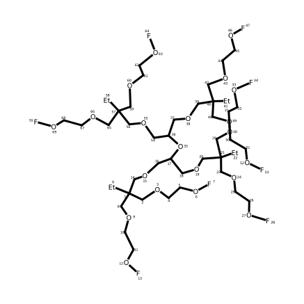 CCC(COCCOF)(COCCOF)COCC(COCC(CC)(COCCOF)COCCOF)OC(COCC(CC)(COCCOF)COCCOF)COCC(CC)(COCCOF)COCCOF